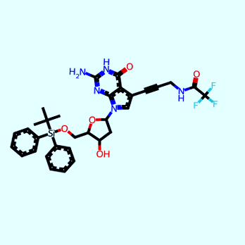 CC(C)(C)[Si](OCC1OC(n2cc(C#CCNC(=O)C(F)(F)F)c3c(=O)[nH]c(N)nc32)CC1O)(c1ccccc1)c1ccccc1